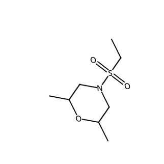 CCS(=O)(=O)N1CC(C)OC(C)C1